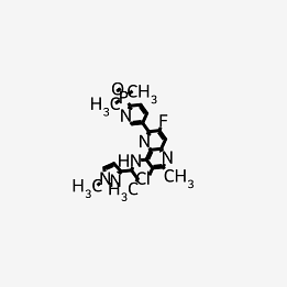 CCC(Nc1c(Cl)c(C)nc2cc(F)c(-c3ccc(P(C)(C)=O)nc3)nc12)c1ccn(C)n1